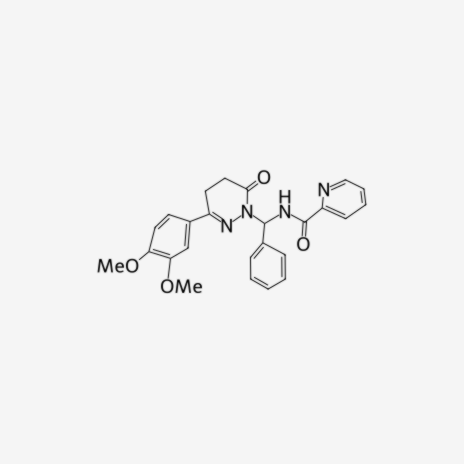 COc1ccc(C2=NN(C(NC(=O)c3ccccn3)c3ccccc3)C(=O)CC2)cc1OC